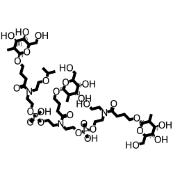 CC(C)OCCN(CCOP(=O)(O)OCCN(CCOP(=O)(O)OCCN(CCO)C(=O)CCCO[C@@H]1OC(CO)[C@H](O)[C@H](O)C1C)C(=O)CCCO[C@@H]1OC(CO)[C@H](O)[C@H](O)C1C)C(=O)CCCO[C@@H]1OC(CO)[C@H](O)[C@H](O)C1C